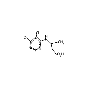 CC(CS(=O)(=O)O)Nc1nnnc(Cl)c1Cl